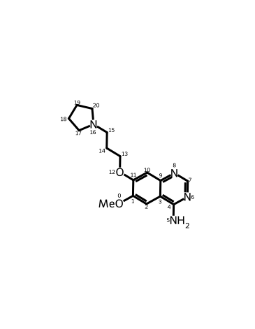 COc1cc2c(N)ncnc2cc1OCCCN1CCCC1